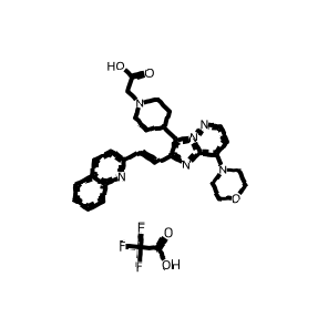 O=C(O)C(F)(F)F.O=C(O)CN1CCC(c2c(C=Cc3ccc4ccccc4n3)nc3c(N4CCOCC4)ccnn23)CC1